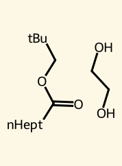 CCCCCCCC(=O)OCC(C)(C)C.OCCO